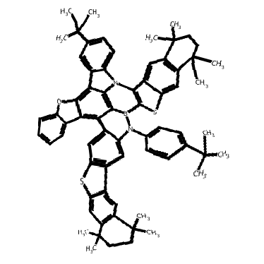 CC(C)(C)c1ccc(N2B3c4sc5cc6c(cc5c4-n4c5ccc(C(C)(C)C)cc5c5c7oc8ccccc8c7c(c3c54)-c3cc4sc5cc7c(cc5c4cc32)C(C)(C)CCC7(C)C)C(C)(C)CCC6(C)C)cc1